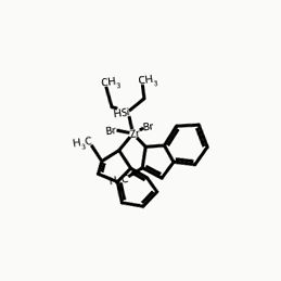 CC[SiH](CC)[Zr]([Br])([Br])([CH]1C(C)=Cc2ccccc21)[CH]1C(C)=Cc2ccccc21